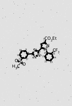 CCOC(=O)c1cc(-c2nnc(-c3cccc(S(C)(=O)=O)c3)s2)n(-c2ccccc2C(F)(F)F)n1